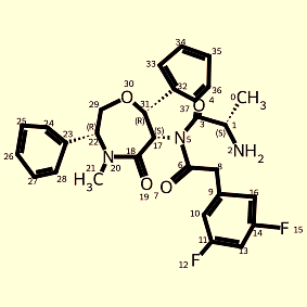 C[C@H](N)C(=O)N(C(=O)Cc1cc(F)cc(F)c1)[C@@H]1C(=O)N(C)[C@H](c2ccccc2)CO[C@@H]1c1ccccc1